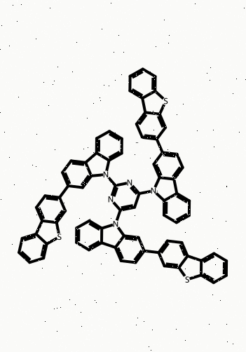 c1ccc2c(c1)sc1cc(-c3ccc4c5ccccc5n(-c5cc(-n6c7ccccc7c7ccc(-c8ccc9c(c8)sc8ccccc89)cc76)nc(-n6c7ccccc7c7ccc(-c8ccc9c(c8)sc8ccccc89)cc76)n5)c4c3)ccc12